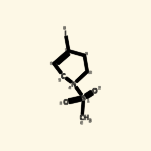 CS(=O)(=O)N1CC=C(I)CC1